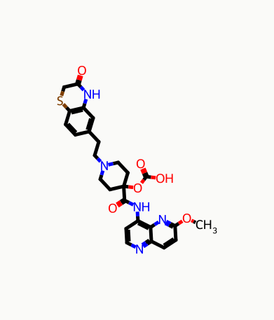 COc1ccc2nccc(NC(=O)C3(OC(=O)O)CCN(CCc4ccc5c(c4)NC(=O)CS5)CC3)c2n1